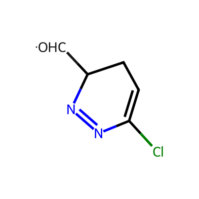 O=[C]C1CC=C(Cl)N=N1